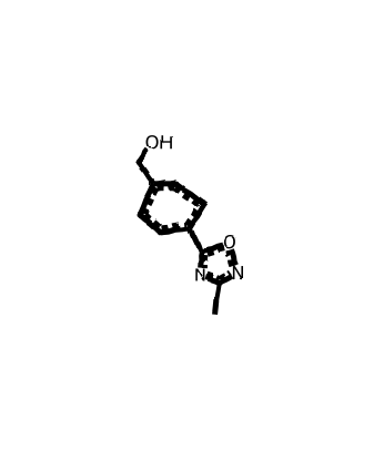 Cc1noc(-c2ccc(CO)cc2)n1